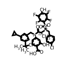 Cc1c(F)c(F)c(S(=O)(=O)N(Cc2ccc(Cl)cc2)[C@@H](C)C(=O)N(Cc2cc(C3CC3)cc(C(C)(C)C)c2)c2ccc(C(=O)O)c(O)c2)c(F)c1F